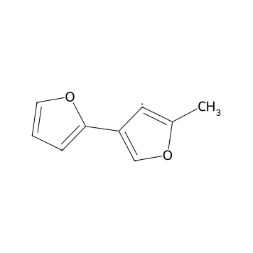 Cc1[c]c(-c2ccco2)co1